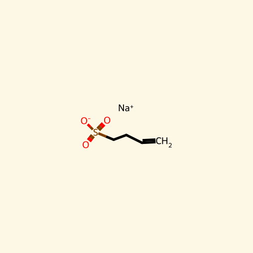 C=CCCS(=O)(=O)[O-].[Na+]